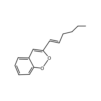 CCCCC=CC1=Cc2ccccc2OO1